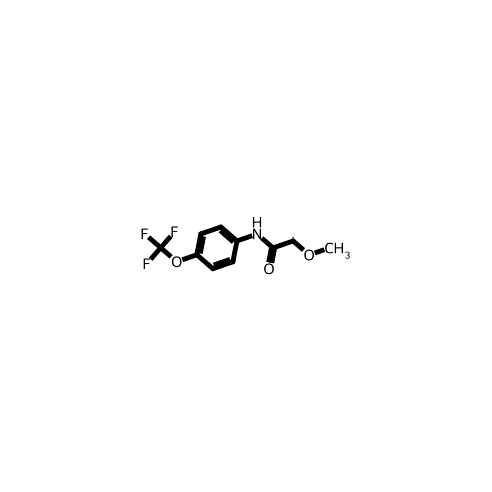 CO[CH]C(=O)Nc1ccc(OC(F)(F)F)cc1